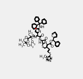 Cn1nnnc1SC=CC1=C(C(=O)OC(c2ccccc2)c2ccccc2)N2C(=O)C(NC(=O)C(=NOC(C)(C)C(=O)OC(C)(C)C)c3csc(NC(c4ccccc4)(c4ccccc4)c4ccccc4)n3)C2SC1